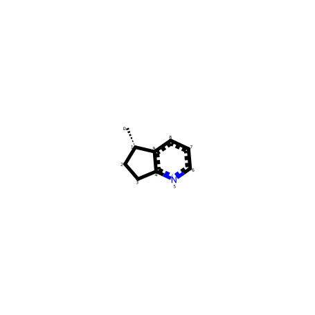 C[C@H]1CCc2ncccc21